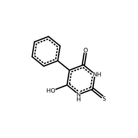 O=c1[nH]c(=S)[nH]c(O)c1-c1ccccc1